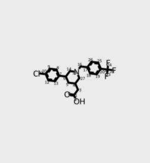 O=C(O)CC1CC(c2ccc(Cl)cc2)CN(Cc2ccc(C(F)(F)F)cc2)C1